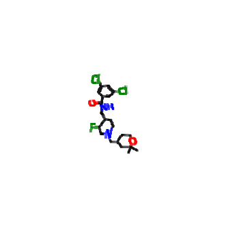 CC1(C)CC(CN2CC[C@H](CNC(=O)c3cc(Cl)cc(Cl)c3)[C@H](F)C2)CCO1